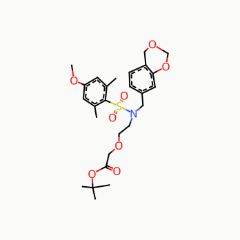 COc1cc(C)c(S(=O)(=O)N(CCOCC(=O)OC(C)(C)C)Cc2ccc3c(c2)OCOC3)c(C)c1